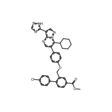 COC(=O)c1ccc(-c2ccc(Cl)cc2)c(COc2ccc(-c3cnc4c(-c5ncn[nH]5)cnn4c3C3CCCCC3)cc2)c1